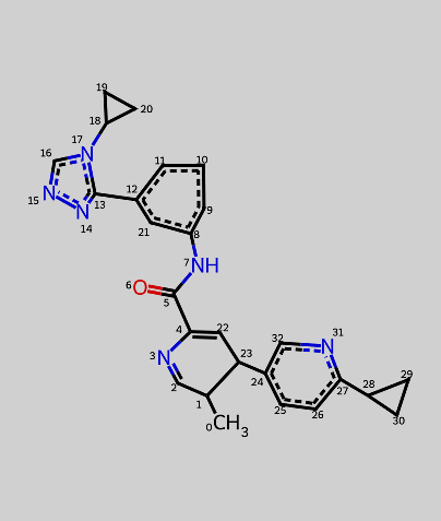 CC1C=NC(C(=O)Nc2cccc(-c3nncn3C3CC3)c2)=CC1c1ccc(C2CC2)nc1